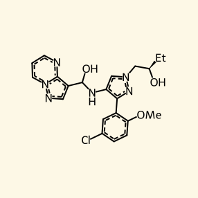 CC[C@@H](O)Cn1cc(NC(O)c2cnn3cccnc23)c(-c2cc(Cl)ccc2OC)n1